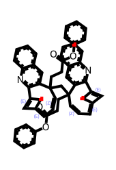 CC1=C\C=C/C(CCC(=O)Oc2ccccc2)(CC2(CCC(=O)Oc3ccccc3)\C=C/C=C(C)/C=C(\C)c3nc4ccccc4cc32)c2cc3ccccc3nc2\C(C)=C\1